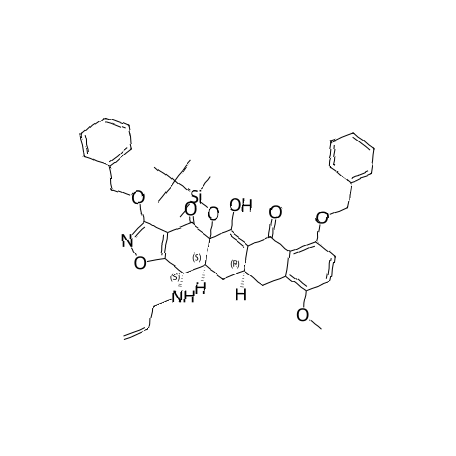 C=CCN[C@@H]1c2onc(OCc3ccccc3)c2C(=O)C2(O[Si](C)(C)C(C)(C)C)C(O)=C3C(=O)c4c(OCc5ccccc5)ccc(OC)c4C[C@H]3C[C@@H]12